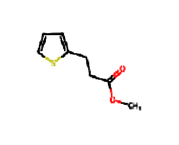 COC(=O)CCc1cccs1